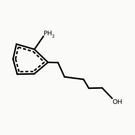 OCCCCCc1ccccc1P